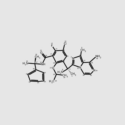 Cc1nc([C@@](C)([SiH3])c2cc(Cl)c(F)c(C(=O)N[C@@](C)([SiH3])c3ccccc3)c2OC(C)C)n2ccnc(N)c12